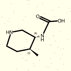 C[C@H]1CCNC[C@@H]1NC(=O)O